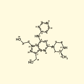 C[C@H]1CN(c2nc(Nc3ccncn3)c3c(n2)c(CO)nn3CCO)CCN1